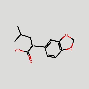 CC(C)CC(C(=O)O)c1ccc2c(c1)OCO2